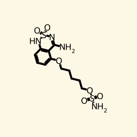 NC1=NS(=O)(=O)Nc2cccc(OCCCCCOS(N)(=O)=O)c21